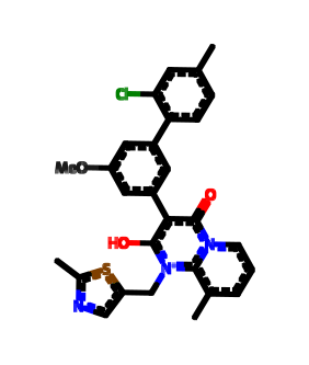 COc1cc(-c2ccc(C)cc2Cl)cc(-c2c(O)[n+](Cc3cnc(C)s3)c3c(C)cccn3c2=O)c1